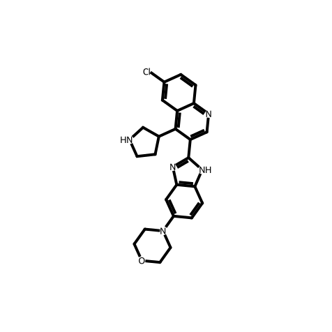 Clc1ccc2ncc(-c3nc4cc(N5CCOCC5)ccc4[nH]3)c(C3CCNC3)c2c1